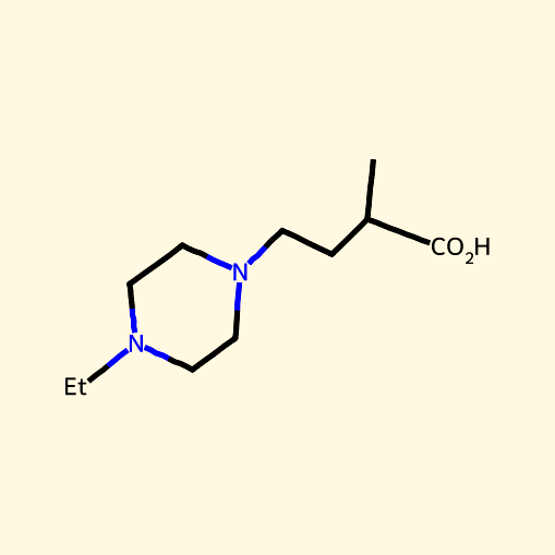 CCN1CCN(CCC(C)C(=O)O)CC1